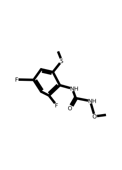 CONC(=O)Nc1c(F)cc(F)cc1SC